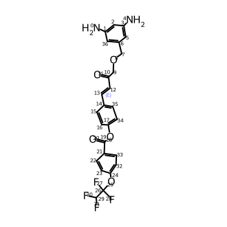 Nc1cc(N)cc(COCC(=O)/C=C/c2ccc(OC(=O)c3ccc(OC(F)(F)C(F)F)cc3)cc2)c1